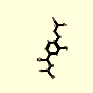 CCc1cc(C(C)N[S+]([O-])C(C)(C)C)cnc1OCC(F)F